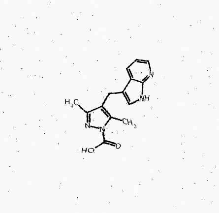 Cc1nn(C(=O)O)c(C)c1Cc1c[nH]c2ncccc12